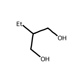 [CH2]C[C](CO)CO